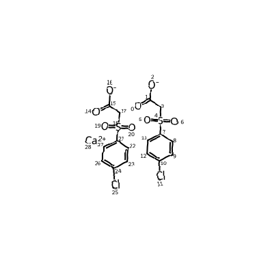 O=C([O-])CS(=O)(=O)c1ccc(Cl)cc1.O=C([O-])CS(=O)(=O)c1ccc(Cl)cc1.[Ca+2]